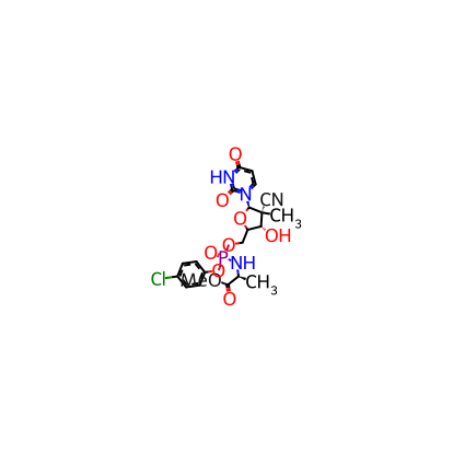 COC(=O)[C@H](C)NP(=O)(OCC1O[C@@H](n2ccc(=O)[nH]c2=O)[C@](C)(C#N)[C@@H]1O)Oc1ccc(Cl)cc1